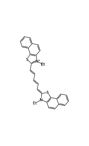 CCN1/C(=C/C=C/C=C/c2sc3c4ccccc4ccc3[n+]2CC)Sc2c1ccc1ccccc21